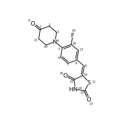 O=C1CCN(c2ccc(C=C3SC(=O)NC3=O)cc2F)CC1